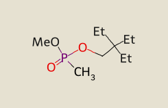 CCC(CC)(CC)COP(C)(=O)OC